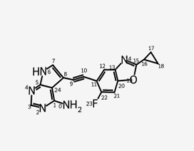 Nc1ncnc2[nH]cc(C#Cc3cc4nc(C5CC5)oc4cc3F)c12